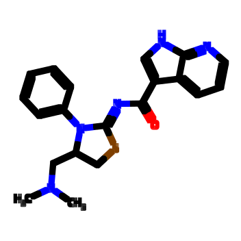 CN(C)CC1CSC(=NC(=O)c2c[nH]c3ncccc23)N1c1ccccc1